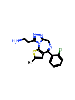 CCc1cc2c(s1)-n1c(CCN)nnc1CN=C2c1ccccc1Cl